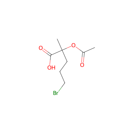 CC(=O)OC(C)(CCCBr)C(=O)O